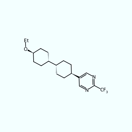 CCO[C@H]1CC[C@H]([C@H]2CC[C@H](c3cnc(C(F)(F)F)nc3)CC2)CC1